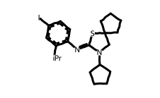 CC(C)c1cc(I)ccc1/N=C1\SC2(CCCC2)CN1C1CCCC1